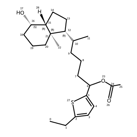 CCc1ccc(C(CCCC(C)[C@H]2CC[C@H]3[C@@H](O)CCC[C@]23C)OC(C)=O)s1